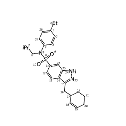 CCc1ccc(N(CC(C)C)S(=O)(=O)c2ccc3c(CC4C=CCCC4)n[nH]c3c2)cc1